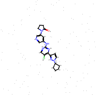 O=C1CCCN1c1cncc(Nc2ncc(Cl)c(-c3ccn(C4CCCC4)n3)n2)c1